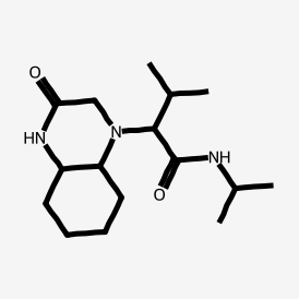 CC(C)NC(=O)C(C(C)C)N1CC(=O)NC2CCCCC21